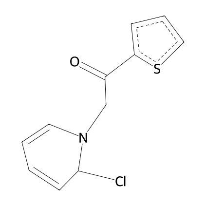 O=C(CN1C=CC=CC1Cl)c1cccs1